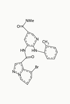 CNC(=O)c1cnc(Nc2ccccc2C)c(NC(=O)c2cnn3cccc(Br)c23)c1